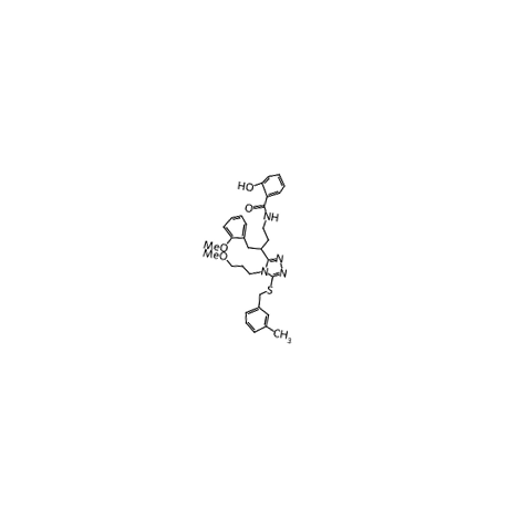 COCCCn1c(SCc2cccc(C)c2)nnc1C(CCNC(=O)c1ccccc1O)Cc1ccccc1OC